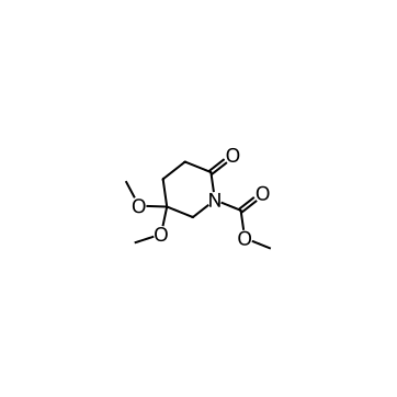 COC(=O)N1CC(OC)(OC)CCC1=O